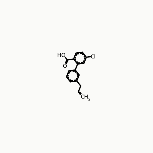 C=CCc1cccc(-c2cc(Cl)ccc2C(=O)O)c1